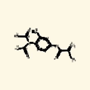 C=C(C)C(=O)Nc1ccc(N(C(=O)O)C(=O)O)c(C)c1